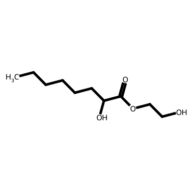 CCCCCCC(O)C(=O)OCCO